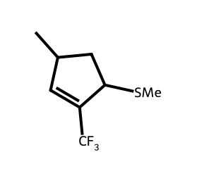 CSC1CC(C)C=C1C(F)(F)F